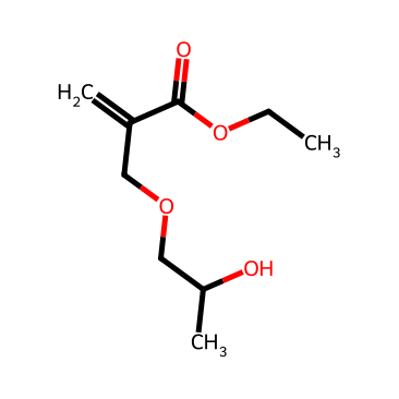 C=C(COCC(C)O)C(=O)OCC